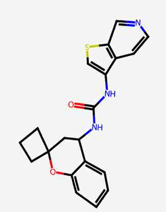 O=C(Nc1csc2cnccc12)NC1CC2(CCC2)Oc2ccccc21